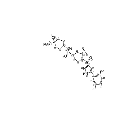 COC1(C(F)(F)F)CCC(NC(=O)[C@@H]2CCN(C(=O)c3cc(-c4cc(C)ncc4F)[nH]n3)C3(CC3)C2)CC1